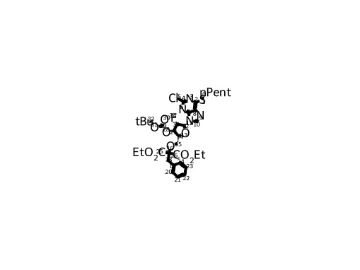 CCCCCSc1nc(Cl)nc2c1ncn2[C@@H]1O[C@H](COC(Cc2ccccc2)(C(=O)OCC)C(=O)OCC)[C@@H](OC(=O)OC(C)(C)C)[C@@H]1F